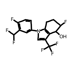 OC1c2c(C(F)(F)F)cn(-c3ccc(F)c(C(F)F)c3)c2CCC1F